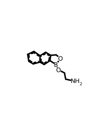 NCCOB1OCc2cc3ccccc3cc21